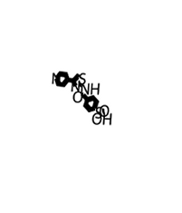 O=C(Nc1nc(-c2ccncc2)cs1)c1ccc(S(=O)O)cc1